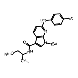 CCc1ccc(Nc2ccc3c(C(=O)NC(C)COC)cn(C(C)(C)C)c3n2)cc1